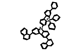 c1ccc(-c2ccc3c(c2)[Si](c2ccccc2)(c2ccccc2)c2cc(-n4c5ccc(-c6cccc7ccccc67)cc5c5cc(-c6cccc7ccccc67)ccc54)ccc2-3)cc1